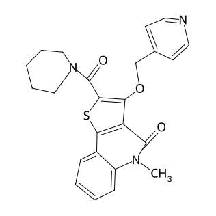 Cn1c(=O)c2c(OCc3ccncc3)c(C(=O)N3CCCCC3)sc2c2ccccc21